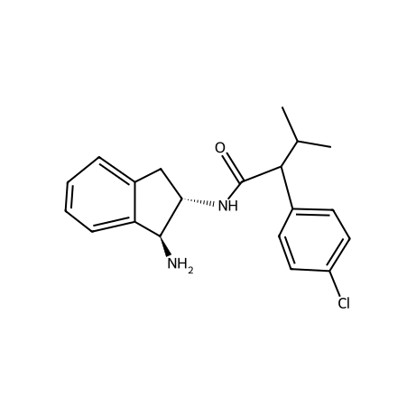 CC(C)C(C(=O)N[C@H]1Cc2ccccc2[C@@H]1N)c1ccc(Cl)cc1